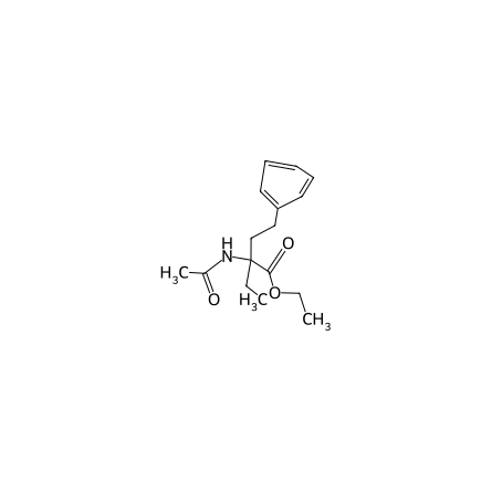 CCOC(=O)C(CC)(CCc1ccccc1)NC(C)=O